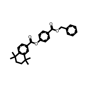 CC1(C)CCC(C)(C)c2cc(C(=O)Oc3ccc(C(=O)OCc4ccccc4)cc3)ccc21